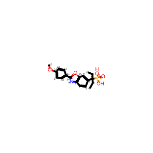 CCC(CC)(c1ccc2nc(-c3ccc(OC)cc3)oc2c1)P(=O)(O)O